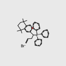 C=CCC(c1ccc2c(c1)C(C)(C)CCC2(C)C)[P+](c1ccccc1)(c1ccccc1)c1ccccc1.[Br-]